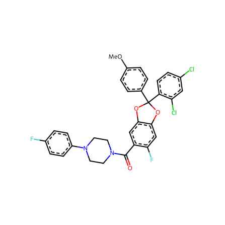 COc1ccc(C2(c3ccc(Cl)cc3Cl)Oc3cc(F)c(C(=O)N4CCN(c5ccc(F)cc5)CC4)cc3O2)cc1